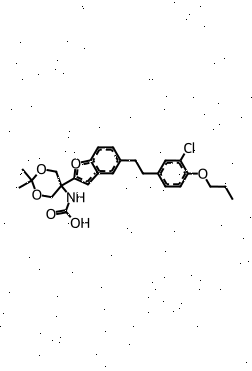 CCCOc1ccc(CCc2ccc3oc(C4(NC(=O)O)COC(C)(C)OC4)cc3c2)cc1Cl